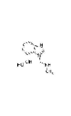 CNCn1cnc2ccccc21.Cl.Cl